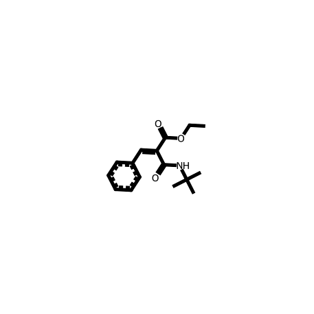 CCOC(=O)/C(=C/c1ccccc1)C(=O)NC(C)(C)C